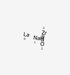 [La].[NaH].[O]=[Zr]